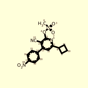 CS(=O)(=O)Oc1nc(C2CCC2)cc(-c2ccc([N+](=O)[O-])cc2)c1C#N